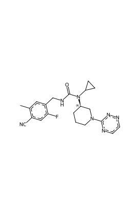 Cc1cc(CNC(=O)N(C2CC2)[C@@H]2CCCN(c3nccnn3)C2)c(F)cc1C#N